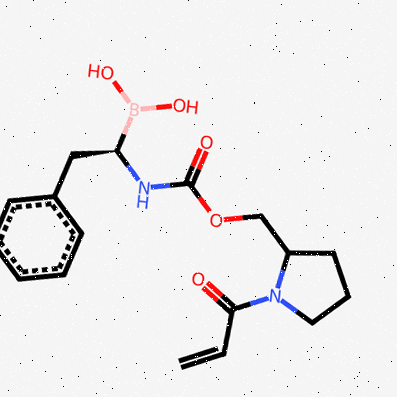 C=CC(=O)N1CCCC1COC(=O)N[C@@H](Cc1ccccc1)B(O)O